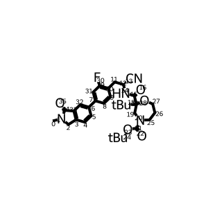 CN1Cc2ccc(-c3ccc(C[C@@H](C#N)NC(=O)C4(C(C)(C)C)CN(C(=O)OC(C)(C)C)CCCO4)c(F)c3)cc2C1=O